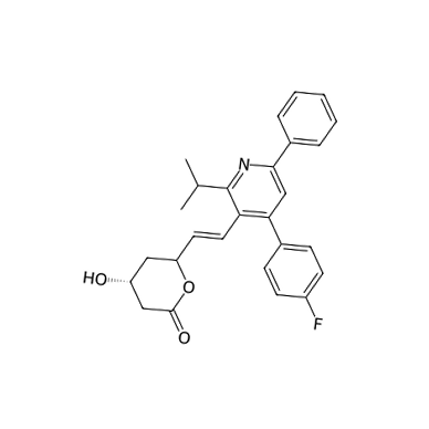 CC(C)c1nc(-c2ccccc2)cc(-c2ccc(F)cc2)c1/C=C/C1C[C@@H](O)CC(=O)O1